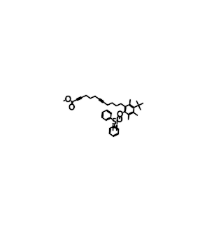 COC(=O)C#CCCCC#CCCCCc1c(C)c(C(C)(C)C)c(C)c(C)c1OO[SiH](c1ccccc1)c1ccccc1